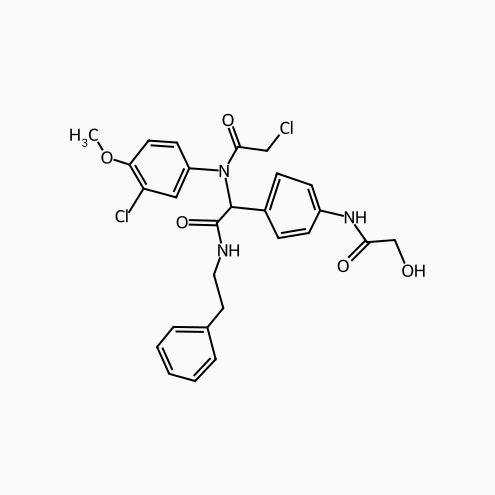 COc1ccc(N(C(=O)CCl)C(C(=O)NCCc2ccccc2)c2ccc(NC(=O)CO)cc2)cc1Cl